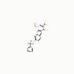 NC1(c2ccccc2)CN(c2c(F)cc3cc4c(=O)c(C(=O)O)cn(CCF)c4nc3c2F)C1